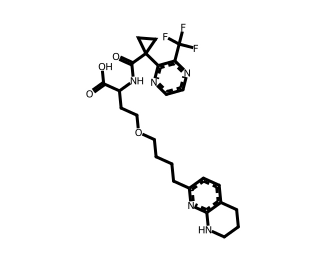 O=C(O)C(CCOCCCCc1ccc2c(n1)NCCC2)NC(=O)C1(c2nccnc2C(F)(F)F)CC1